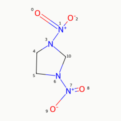 O=[N+]([O-])N1CCN([N+](=O)[O-])C1